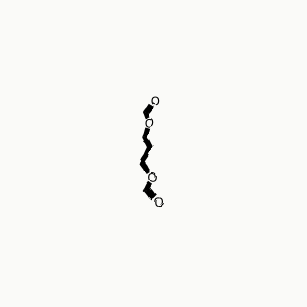 O=COC[CH]COC=O